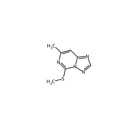 CSc1nc(C)cc2ncnn12